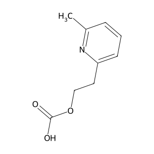 Cc1cccc(CCOC(=O)O)n1